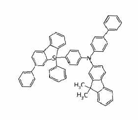 CC1(C)c2ccccc2-c2ccc(N(c3ccc(-c4ccccc4)cc3)c3ccc([Si]4(c5ccccc5)c5ccccc5-c5ccc(-c6ccccc6)cc54)cc3)cc21